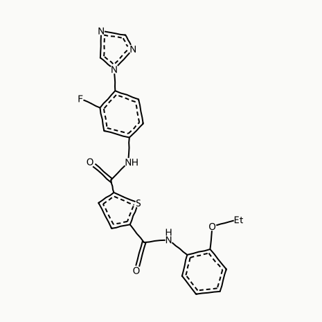 CCOc1ccccc1NC(=O)c1ccc(C(=O)Nc2ccc(-n3cncn3)c(F)c2)s1